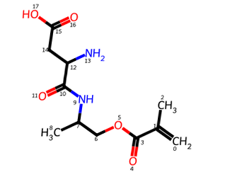 C=C(C)C(=O)OCC(C)NC(=O)C(N)CC(=O)O